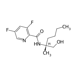 CCCC[C@](C)(CO)NC(=O)c1ncc(F)cc1F